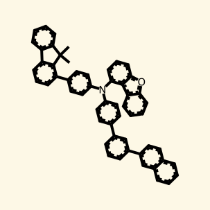 CC1(C)c2ccccc2-c2cccc(-c3ccc(N(c4ccc(-c5cccc(-c6ccc7ccccc7c6)c5)cc4)c4cccc5oc6ccccc6c45)cc3)c21